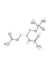 CC(=O)OC[C@H](COP(=O)(O)O)OC(C)=O